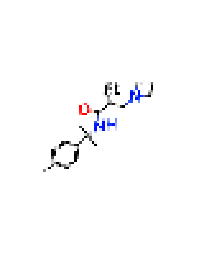 CCC(CN1CCC1)C(=O)NC(C)(C)c1ccc(C)cc1